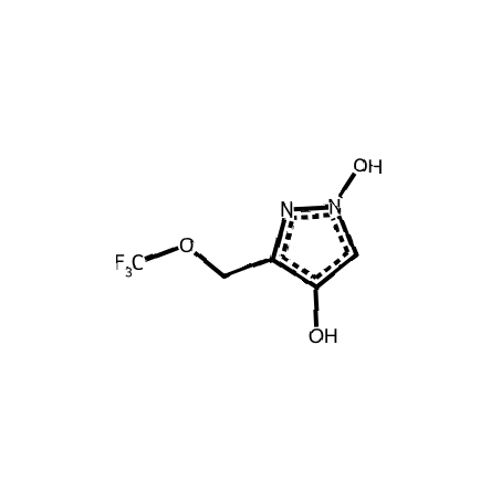 Oc1cn(O)nc1COC(F)(F)F